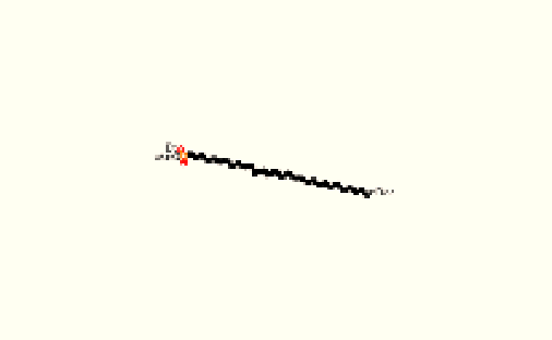 CCCCCCCCCCCCCCCCCCCCCCCCCCCCCCCCCCCCCCC=CP(=O)(OC)OCC